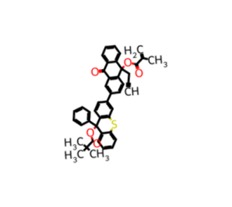 C#CCC1(OC(=O)C(=C)C)c2ccccc2C(=O)c2cc(-c3ccc4c(c3)Sc3ccccc3C4(OC(=O)C(C)(C)C)c3ccccc3)ccc21